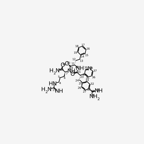 N=C(N)NCCC[C@H](NC(=O)[C@H](CCc1ccccc1)NC(=O)[C@@H](Cc1ccc(C(=N)N)cc1)c1cccnc1)C(N)=O